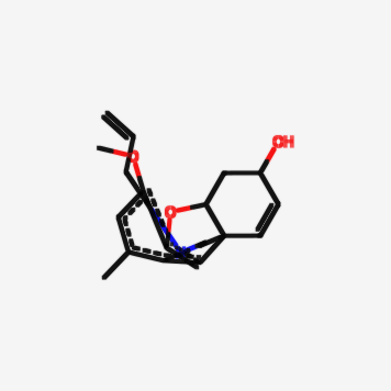 C=CCN1CCC23C=CC(O)CC2Oc2c(OC)cc(C)c(c23)C1